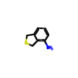 Nc1cccc2c1CSC2